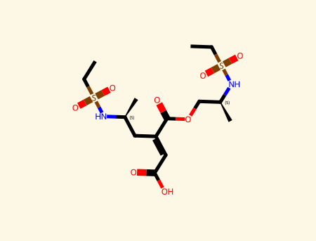 CCS(=O)(=O)N[C@@H](C)COC(=O)C(=CC(=O)O)C[C@H](C)NS(=O)(=O)CC